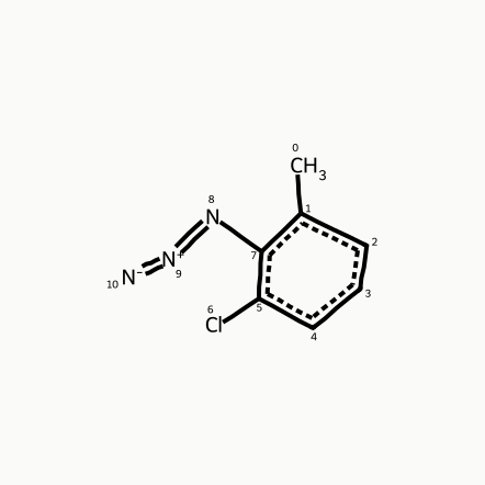 Cc1cccc(Cl)c1N=[N+]=[N-]